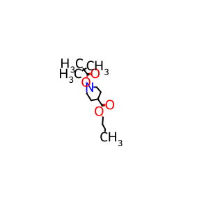 CCCCOC(=O)C1CCN(OC(=O)C(C)(C)C)CC1